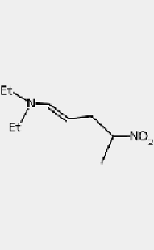 CCN(C=CCC(C)[N+](=O)[O-])CC